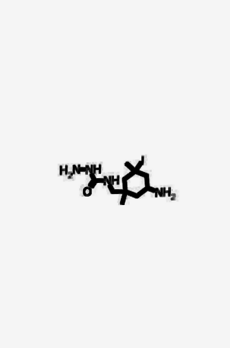 CC1(I)CC(N)CC(C)(CNC(=O)NN)C1